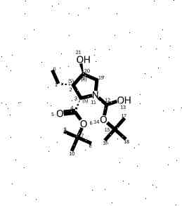 CC[C@H]1[C@@H](C(=O)OC(C)(C)C)N(C(O)OC(C)(C)C)C[C@@H]1O